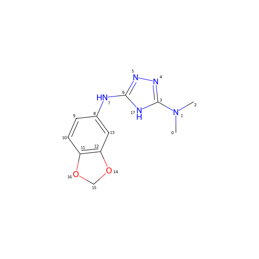 CN(C)c1nnc(Nc2ccc3c(c2)OCO3)[nH]1